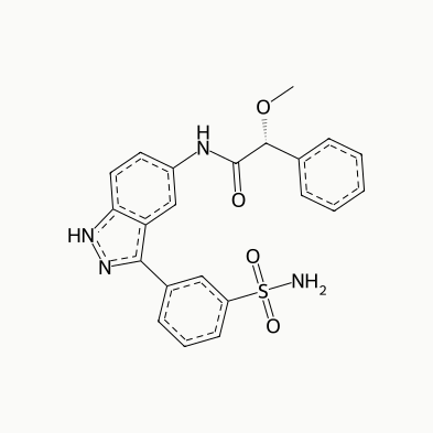 CO[C@@H](C(=O)Nc1ccc2[nH]nc(-c3cccc(S(N)(=O)=O)c3)c2c1)c1ccccc1